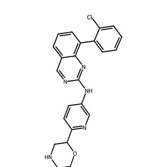 Clc1ccccc1-c1cccc2cnc(Nc3ccc(C4CNCCO4)nc3)nc12